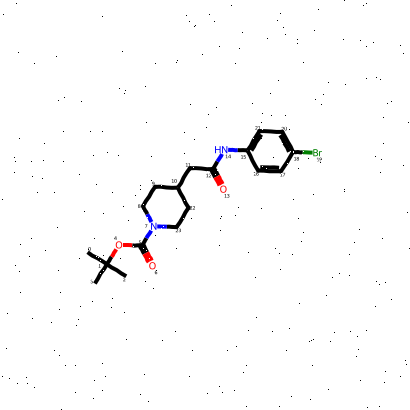 CC(C)(C)OC(=O)N1CCC(CC(=O)Nc2ccc(Br)cc2)CC1